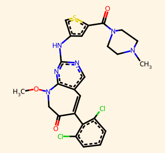 CON1CC(=O)C(c2c(Cl)cccc2Cl)=Cc2cnc(Nc3csc(C(=O)N4CCN(C)CC4)c3)nc21